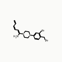 C=C/C=C\C=C(/N)N1CCN(c2ccc(CC(C)C)c(C(C)C)c2)CC1